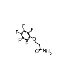 NC(=O)CCOc1c(F)c(F)c(F)c(F)c1F